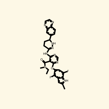 CCN(C)C(=O)c1c(NC2=NNC(c3ccc4nccnc4c3)CC2)ncnc1Oc1cc(F)c2[nH]c(C)cc2c1F